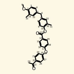 COc1ccc(Cc2ccc(OC(=O)c3ccc(Oc4ccc(C(C)=O)cc4)cc3)c(C)c2)cc1C